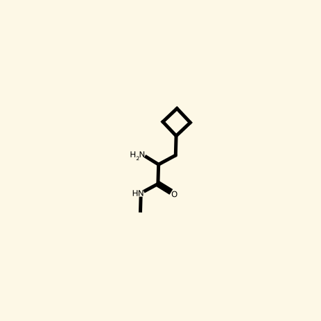 CNC(=O)C(N)CC1CCC1